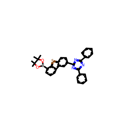 CC1(C)OB(c2cccc3c2sc2ccc(-c4nc(-c5ccccc5)nc(-c5ccccc5)n4)cc23)OC1(C)C